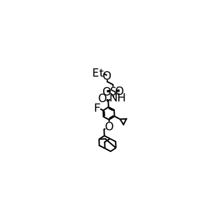 CCOCCS(=O)(=O)NC(=O)c1cc(C2CC2)c(OCC2C3CC4CC(C3)CC2C4)cc1F